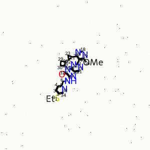 CCSc1ccc(CNc2nc3cnc(-c4c(OC)ncnc4C4CC4)nc3n(C3CCC3)c2=O)nc1